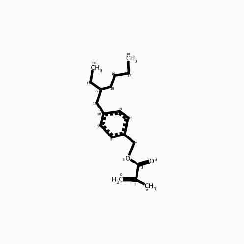 C=C(C)C(=O)OCc1ccc(CC(CC)CCCC)cc1